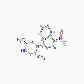 C[C@@H]1CN[C@@H](C)CN1c1ccc([N+](=O)[O-])c2ccccc12